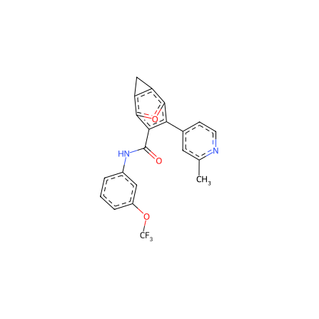 Cc1cc(-c2c(C(=O)Nc3cccc(OC(F)(F)F)c3)c3oc2c2c3C2)ccn1